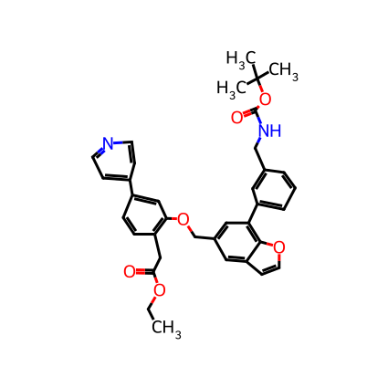 CCOC(=O)Cc1ccc(-c2ccncc2)cc1OCc1cc(-c2cccc(CNC(=O)OC(C)(C)C)c2)c2occc2c1